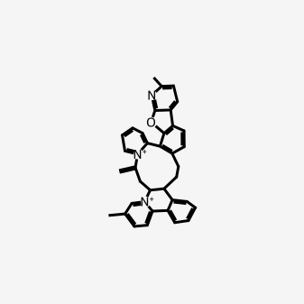 C=C1CC2C(CCc3ccc4c(oc5nc(C)ccc54)c3-c3cccc[n+]31)c1ccccc1-c1ccc(C)c[n+]12